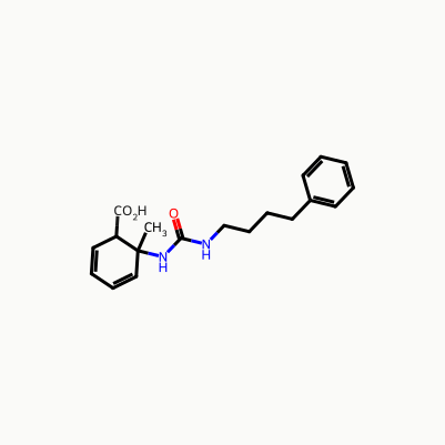 CC1(NC(=O)NCCCCc2ccccc2)C=CC=CC1C(=O)O